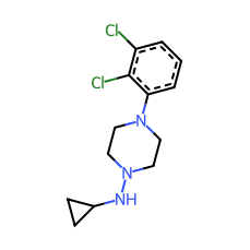 Clc1cccc(N2CCN(NC3CC3)CC2)c1Cl